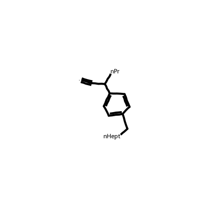 [C]#CC(CCC)c1ccc(CCCCCCCC)cc1